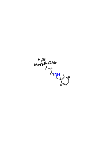 COC([SiH3])(CCCNCc1ccccc1)OC